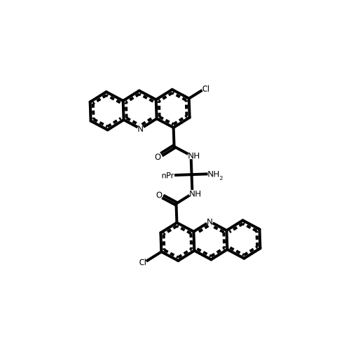 CCCC(N)(NC(=O)c1cc(Cl)cc2cc3ccccc3nc12)NC(=O)c1cc(Cl)cc2cc3ccccc3nc12